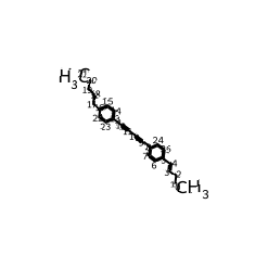 CCCC=Cc1ccc(C#CC#Cc2ccc(C=CCCC)cc2)cc1